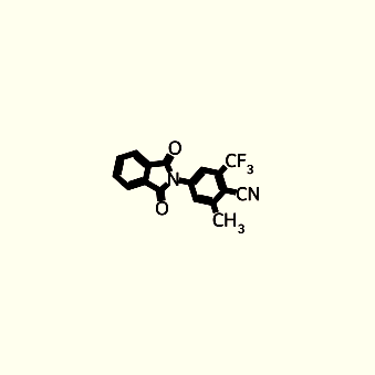 Cc1cc(N2C(=O)c3ccccc3C2=O)cc(C(F)(F)F)c1C#N